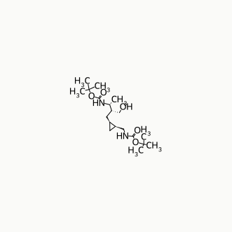 C[C@@H](NC(=O)OC(C)(C)C)[C@H](CO)C[C@@H]1C[C@@H]1CNC(=O)OC(C)(C)C